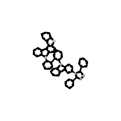 c1ccc(-c2nnc(-c3ccccc3)n2-c2ccc3c(c2)c2ccccc2n3-c2ccccc2-c2ccccc2-n2c3ccccc3c3c4c(ccc32)oc2ccccc24)cc1